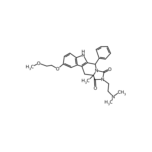 COCCOc1ccc2[nH]c3c(c2c1)CC1(C)C(=O)N(CCN(C)C)C(=O)N1C3c1ccccc1